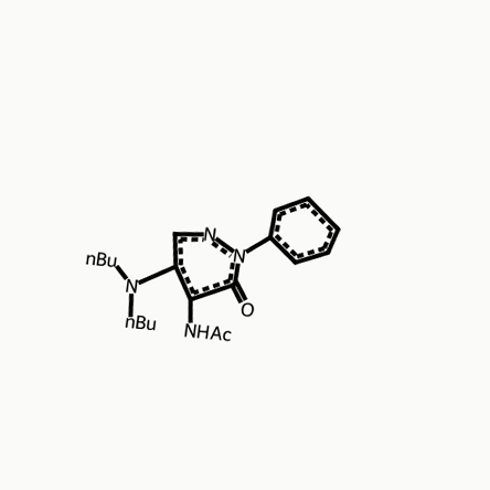 CCCCN(CCCC)c1cnn(-c2ccccc2)c(=O)c1NC(C)=O